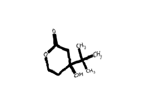 CC(C)(C)C1(O)CCOC(=O)C1